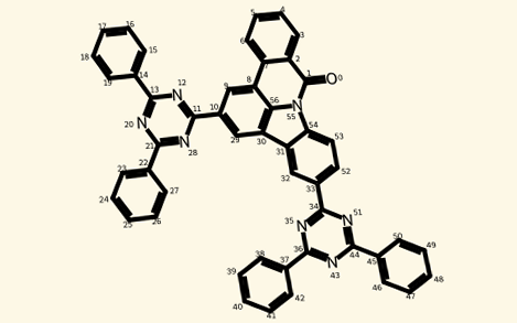 O=c1c2ccccc2c2cc(-c3nc(-c4ccccc4)nc(-c4ccccc4)n3)cc3c4cc(-c5nc(-c6ccccc6)nc(-c6ccccc6)n5)ccc4n1c23